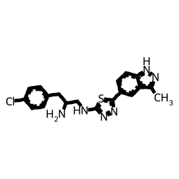 Cc1n[nH]c2ccc(-c3nnc(NCC(N)Cc4ccc(Cl)cc4)s3)cc12